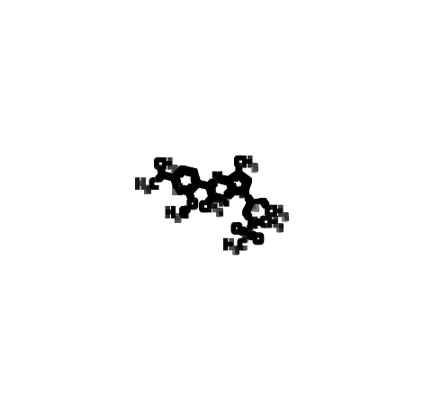 CC[C@@H](CN(C)S(C)(=O)=O)n1cc(C)c2nc(-c3ccc(C(C)C)nc3OC)c(C)nc21